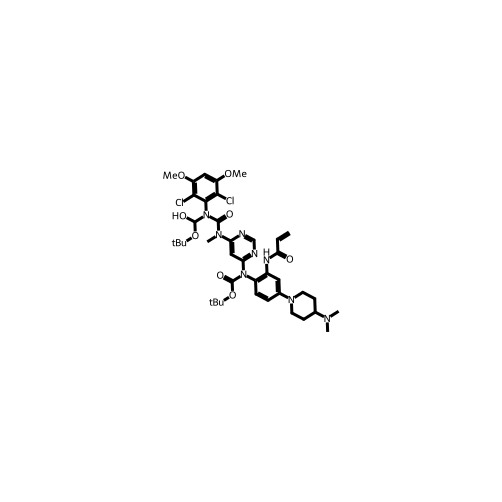 C=CC(=O)Nc1cc(N2CCC(N(C)C)CC2)ccc1N(C(=O)OC(C)(C)C)c1cc(N(C)C(=O)N(c2c(Cl)c(OC)cc(OC)c2Cl)C(O)OC(C)(C)C)ncn1